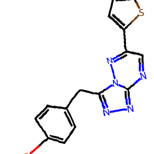 Oc1ccc(Cc2nnc3ncc(-c4cccs4)nn23)cc1